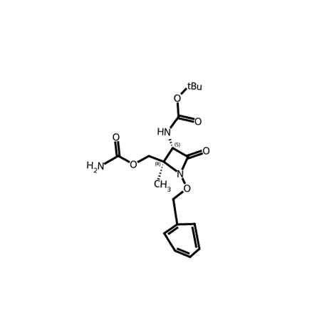 CC(C)(C)OC(=O)N[C@@H]1C(=O)N(OCc2ccccc2)[C@@]1(C)COC(N)=O